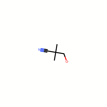 CC(C)(C#N)C[O]